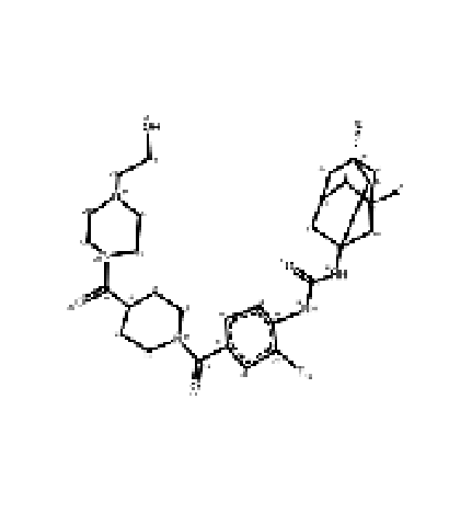 C[C@]12CC3CC(NC(=O)Nc4ccc(C(=O)N5CCC(C(=O)N6CCN(CCO)CC6)CC5)cc4F)(C1)C[C@@](C)(C3)C2